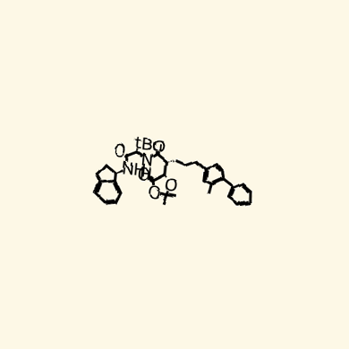 Cc1cc(CCC[C@@H](C(=O)N[C@H](C(=O)N[C@@H]2CCc3ccccc32)C(C)(C)C)[C@@H]2OC(C)(C)OC2=O)ccc1-c1ccccc1